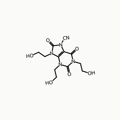 N#Cn1c(=O)n(CCO)c2c1c(=O)n(CCO)c(=O)n2CCO